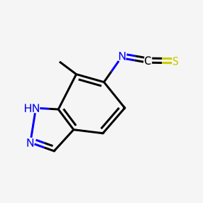 Cc1c(N=C=S)ccc2cn[nH]c12